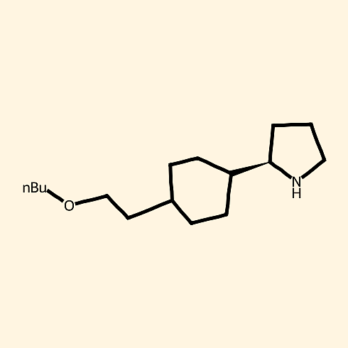 CCCCOCCC1CCC([C@H]2CCCN2)CC1